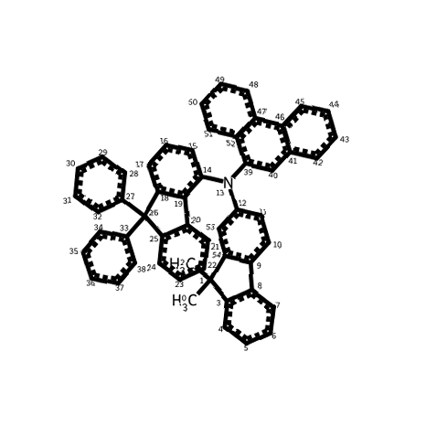 CC1(C)c2ccccc2-c2ccc(N(c3cccc4c3-c3ccccc3C4(c3ccccc3)c3ccccc3)c3cc4ccccc4c4ccccc34)cc21